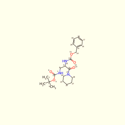 CC(C)(C)OC(=O)NCC(NC(=O)OCc1ccccc1)C(=O)N1CCCCC1